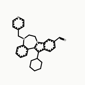 O=Cc1ccc2c(C3CCCCC3)c3n(c2c1)CCN(Cc1ccncc1)c1ccccc1-3